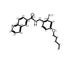 CCCCCOc1ccc(CNC(=O)c2ccc3ncccc3c2)c(F)c1